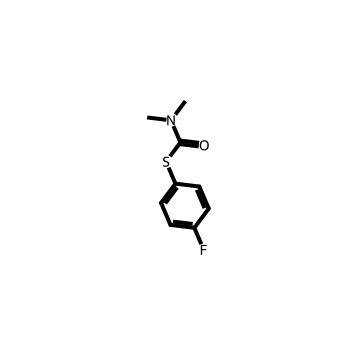 CN(C)C(=O)Sc1ccc(F)cc1